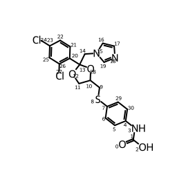 O=C(O)Nc1ccc(SCC2COC(Cn3ccnc3)(c3ccc(Cl)cc3Cl)O2)cc1